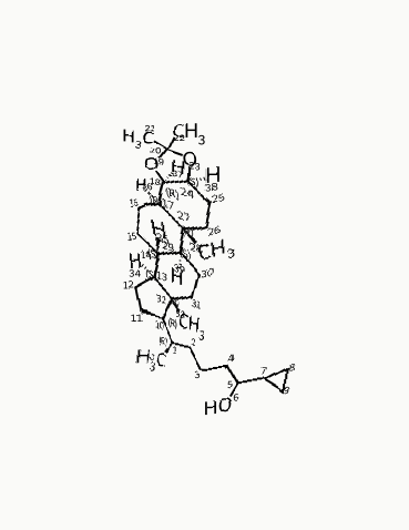 C[C@H](CCCC(O)C1CC1)[C@H]1CC[C@H]2[C@@H]3CC[C@H]4[C@H]5OC(C)(C)O[C@H]5CC[C@]4(C)[C@H]3CC[C@]12C